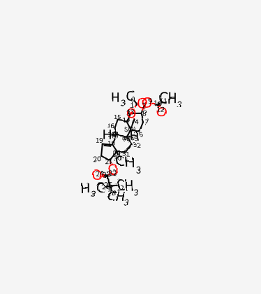 CC(=O)OC[C@]12CCC(OC(C)=O)CC1CC[C@H]1C3=CCC(OC(=O)C(C)(C)C)[C@@]3(C)CC[C@H]12